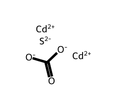 O=C([O-])[O-].[Cd+2].[Cd+2].[S-2]